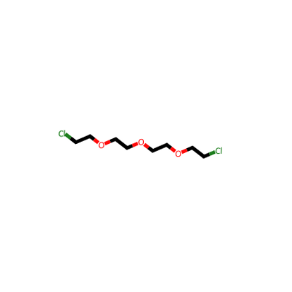 ClCCOCCOCCOCCCl